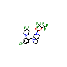 O=C(OC(C(F)(F)F)C(F)(F)F)N1CCC2(CCCN2Cc2ccc(Cl)cc2N2CCC(F)(F)CC2)CC1